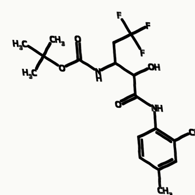 Cc1ccc(NC(=O)C(O)C(CC(F)(F)F)NC(=O)OC(C)(C)C)c(C)c1